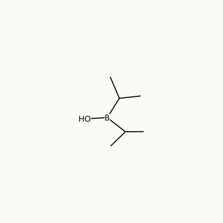 CC(C)B(O)C(C)C